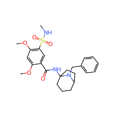 CNS(=O)(=O)c1cc(C(=O)NC23CCCC(CC2)N3Cc2ccccc2)c(OC)cc1OC